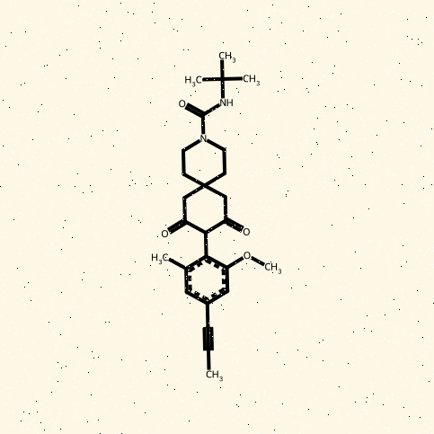 CC#Cc1cc(C)c(C2C(=O)CC3(CCN(C(=O)NC(C)(C)C)CC3)CC2=O)c(OC)c1